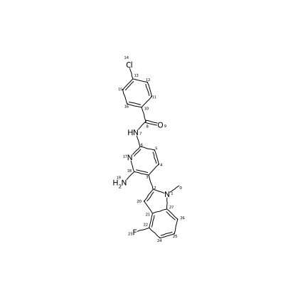 Cn1c(-c2ccc(NC(=O)c3ccc(Cl)cc3)nc2N)cc2c(F)cccc21